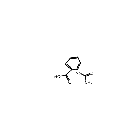 N[C](=O)[Na].O=C(O)c1ccccc1